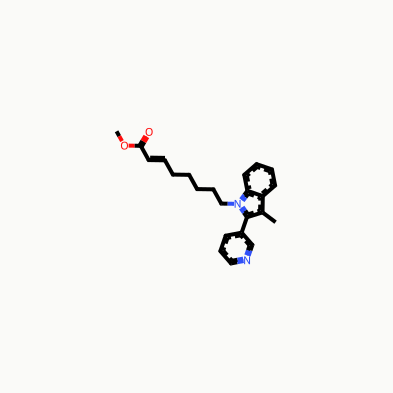 COC(=O)C=CCCCCCn1c(-c2cccnc2)c(C)c2ccccc21